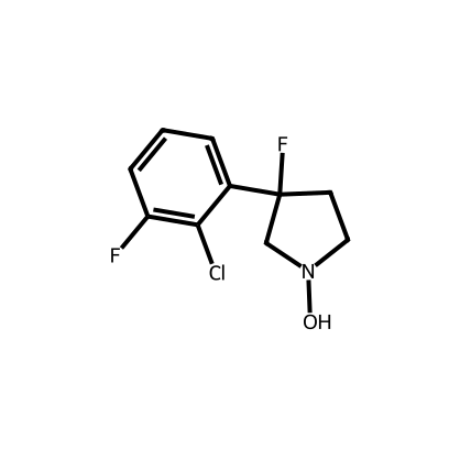 ON1CCC(F)(c2cccc(F)c2Cl)C1